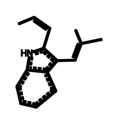 C/C=C\c1[nH]c2ccccc2c1C=C(C)C